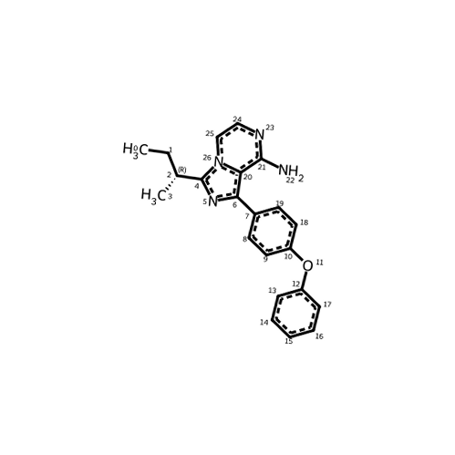 CC[C@@H](C)c1nc(-c2ccc(Oc3ccccc3)cc2)c2c(N)nccn12